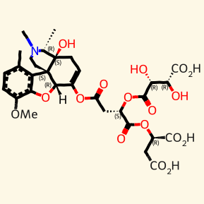 COc1ccc(C)c2c1O[C@H]1C(OC(=O)C[C@H](OC(=O)[C@H](O)[C@@H](O)C(=O)O)C(=O)O[C@H](CC(=O)O)C(=O)O)=CC[C@@]3(O)[C@@H](C)N(C)CC[C@]213